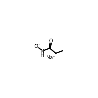 CCC(=O)N[O-].[Na+]